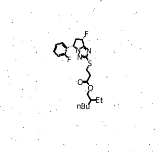 CCCCC(CC)COC(=O)CCSc1nc2n(n1)[C@H](c1ccccc1F)C[C@@H]2F